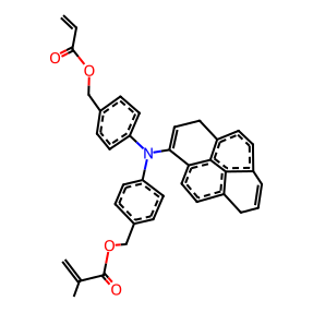 C=CC(=O)OCc1ccc(N(C2=CCc3ccc4c5c(ccc2c35)CC=C4)c2ccc(COC(=O)C(=C)C)cc2)cc1